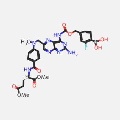 COC(=O)CC[C@H](NC(=O)c1ccc(N(C)Cc2cnc3nc(N)nc(NC(=O)OCc4ccc(B(O)O)c(F)c4)c3n2)cc1)C(=O)OC